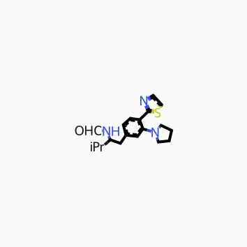 CC(C)C(Cc1ccc(-c2nccs2)c(N2CCCC2)c1)NC=O